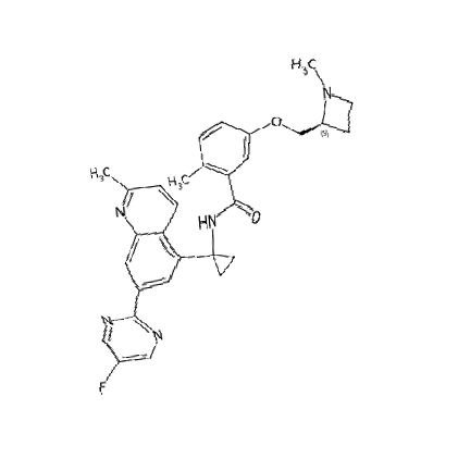 Cc1ccc2c(C3(NC(=O)c4cc(OC[C@@H]5CCN5C)ccc4C)CC3)cc(-c3ncc(F)cn3)cc2n1